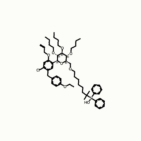 C=CCOc1cc(Cl)c(Cc2ccc(OCC)cc2)cc1[C@@H]1O[C@H](COCCCCCCC(C)(C)[Si](O)(c2ccccc2)c2ccccc2)[C@@H](OCCCC)[C@H](OCCCC)[C@H]1OCCCC